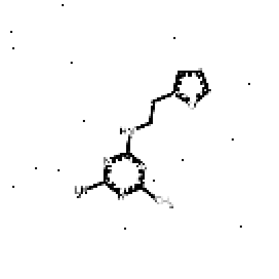 Cc1nc(N)nc(NCCc2ccco2)n1